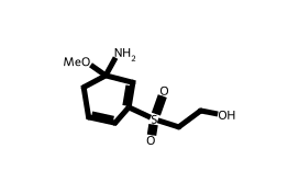 COC1(N)C=C(S(=O)(=O)CCO)C=CC1